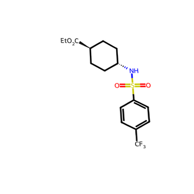 CCOC(=O)[C@H]1CC[C@H](NS(=O)(=O)c2ccc(C(F)(F)F)cc2)CC1